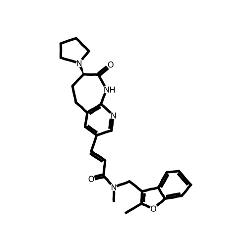 Cc1oc2ccccc2c1CN(C)C(=O)/C=C/c1cnc2c(c1)CC[C@@H](N1CCCC1)C(=O)N2